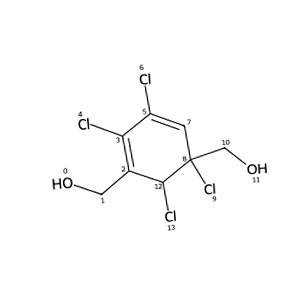 OCC1=C(Cl)C(Cl)=CC(Cl)(CO)C1Cl